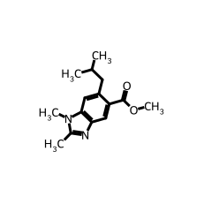 COC(=O)c1cc2nc(C)n(C)c2cc1CC(C)C